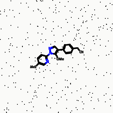 COc1c(-c2ccc(CC#N)cc2)cnn1-c1ccc(SC)cn1